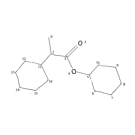 CC(C(=O)OC1CCCCC1)C1CCCCC1